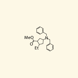 CCC1CC(N(Cc2ccccc2)Cc2ccccc2)CC1C(=O)OC